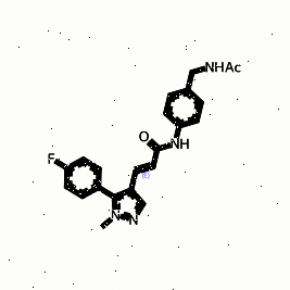 CC(=O)NCc1ccc(NC(=O)/C=C/c2cnn(C)c2-c2ccc(F)cc2)cc1